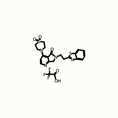 O=C(O)C(F)(F)F.O=C1c2c(N3CCS(=O)(=O)CC3)ccnc2CN1CCc1nc2ccccc2s1